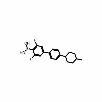 CC1CCC(c2ccc(-c3cc(F)c(B(O)O)c(F)c3)cc2)CC1